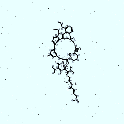 CCn1c(-c2cccnc2[C@H](C)OC)c2c3cc(ccc31)-c1cc(O)cc(c1)C[C@H](NC(=O)[C@H](C(C)C)N(C)C(=O)/C(=N/C=C(\C)NC(=O)/C=C/CN(C)C)NC)C(=O)N1CCC[C@@](O)(N1)C(=O)OCC(C)(C)C2